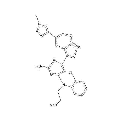 COCCN(c1cc(-c2c[nH]c3ncc(-c4cnn(C)c4)cc23)nc(N)n1)c1ccccc1Cl